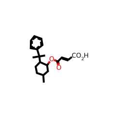 CC1CCC(C(C)(C)c2ccccc2)C(OC(=O)C=CC(=O)O)C1